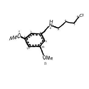 COc1cc(NCCCCl)cc(OC)c1